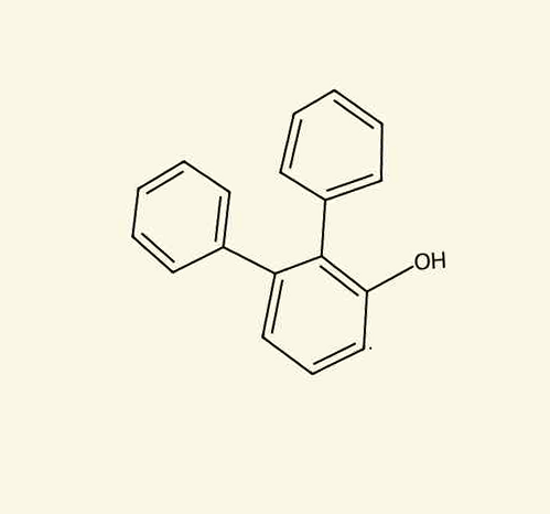 Oc1[c]ccc(-c2ccccc2)c1-c1ccccc1